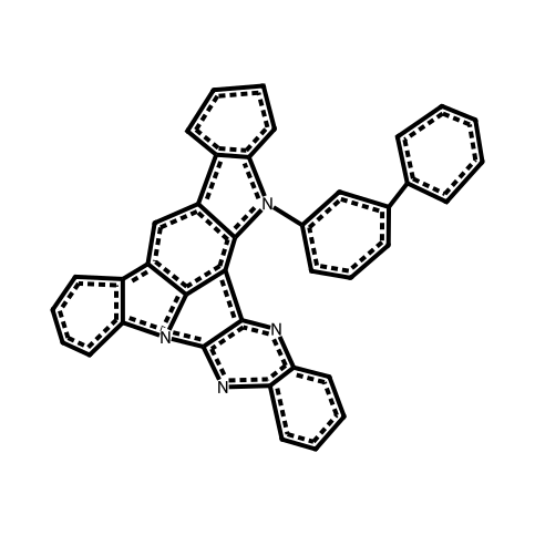 c1ccc(-c2cccc(-n3c4ccccc4c4cc5c6ccccc6n6c7nc8ccccc8nc7c(c43)c56)c2)cc1